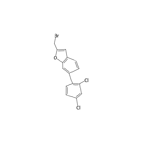 Clc1ccc(-c2ccc3cc(CBr)oc3c2)c(Cl)c1